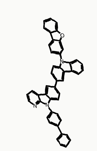 c1ccc(-c2ccc(-n3c4ccc(-c5ccc6c(c5)c5ccccc5n6-c5ccc6c(c5)oc5ccccc56)cc4c4cccnc43)cc2)cc1